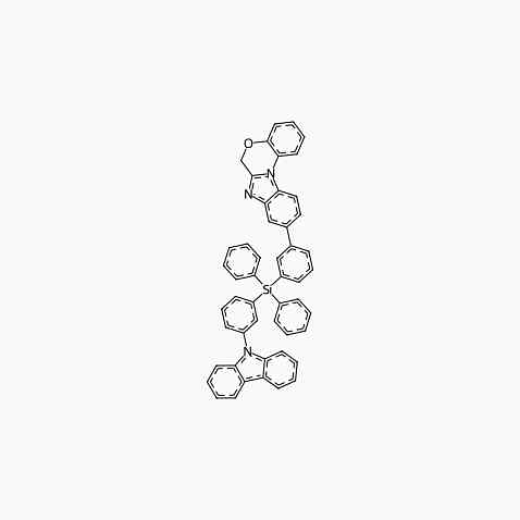 c1ccc([Si](c2ccccc2)(c2cccc(-c3ccc4c(c3)nc3n4-c4ccccc4OC3)c2)c2cccc(-n3c4ccccc4c4ccccc43)c2)cc1